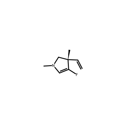 C=C[C@@]1(C)CN(C)C=C1F